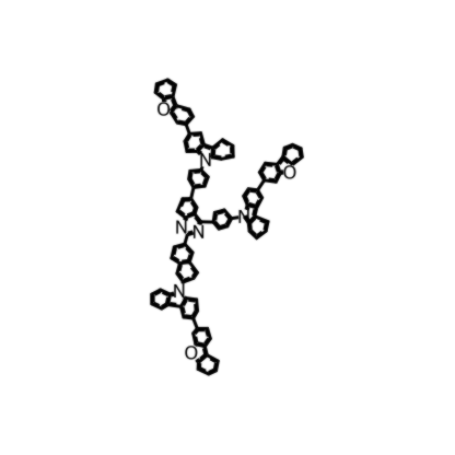 c1ccc2c(c1)oc1cc(-c3ccc4c(c3)c3ccccc3n4-c3ccc(-c4ccc5nc(-c6ccc7cc(-n8c9ccccc9c9cc(-c%10ccc%11c(c%10)oc%10ccccc%10%11)ccc98)ccc7c6)nc(-c6ccc(-n7c8ccccc8c8cc(-c9ccc%10c(c9)oc9ccccc9%10)ccc87)cc6)c5c4)cc3)ccc12